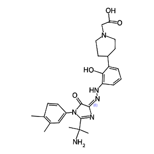 Cc1ccc(N2C(=O)/C(=N\Nc3cccc(C4CCN(CC(=O)O)CC4)c3O)N=C2C(C)(C)N)cc1C